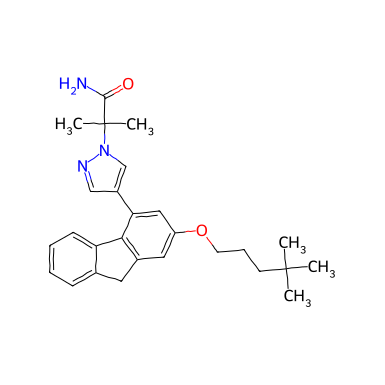 CC(C)(C)CCCOc1cc2c(c(-c3cnn(C(C)(C)C(N)=O)c3)c1)-c1ccccc1C2